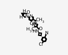 Cc1cc(N2C[C@H]3C[C@H]3C2=O)ncc1C(C)n1cc(C(=O)N[C@H]2C[C@@H](c3cc(Cl)ccc3C#N)C2)c(C)n1